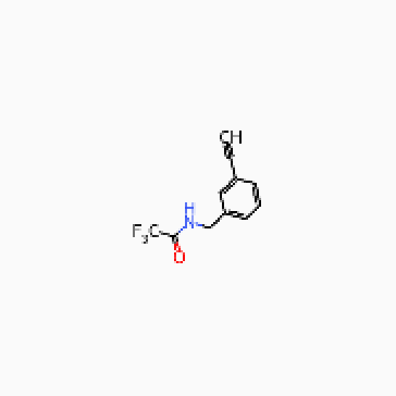 C#Cc1cccc(CNC(=O)C(F)(F)F)c1